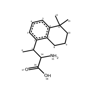 CC(c1cccc2c1CCCC2(C)C)C(N)C(=O)O